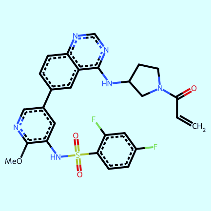 C=CC(=O)N1CCC(Nc2ncnc3ccc(-c4cnc(OC)c(NS(=O)(=O)c5ccc(F)cc5F)c4)cc23)C1